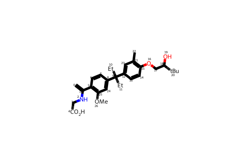 C=C(NCC(=O)O)c1ccc(C(CC)(CC)c2ccc(OCC(O)C(C)(C)C)c(C)c2)cc1OC